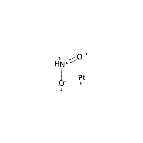 O=[NH+][O-].[Pt]